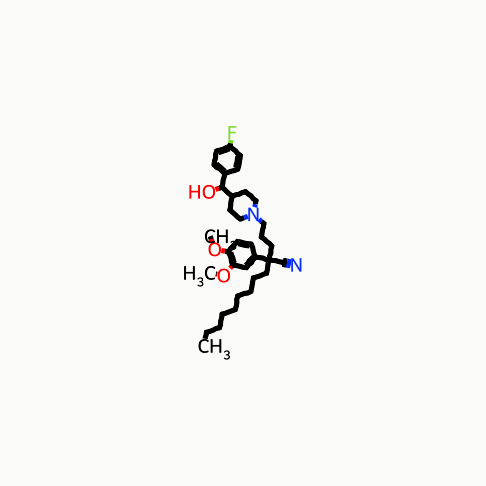 CCCCCCCCCC(C#N)(CCCN1CCC(C(O)c2ccc(F)cc2)CC1)c1ccc(OC)c(OC)c1